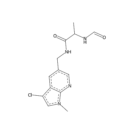 CC(NC=O)C(=O)NCc1cnc2c(c1)c(Cl)cn2C